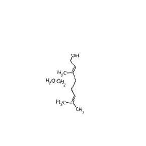 CC(C)=CCC/C(C)=C/CO.O.O